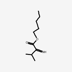 CCCCCOC(=O)C(=N)C(C)C